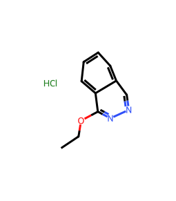 CCOc1nncc2ccccc12.Cl